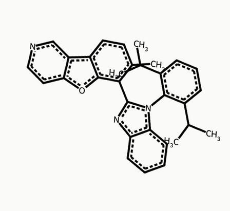 Cc1ccc2c(oc3ccncc32)c1-c1nc2ccccc2n1-c1c(C(C)C)cccc1C(C)C